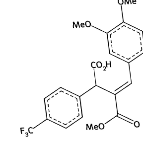 COC(=O)C(=Cc1ccc(OC)c(OC)c1)C(C(=O)O)c1ccc(C(F)(F)F)cc1